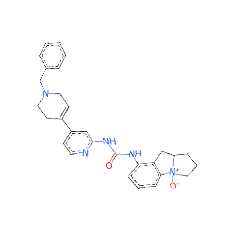 O=C(Nc1cc(C2=CCN(Cc3ccccc3)CC2)ccn1)Nc1cccc2c1CC1CCC[N+]21[O-]